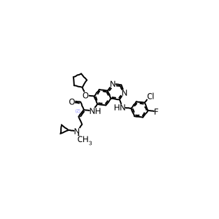 CN(C/C=C(/C=O)Nc1cc2c(Nc3ccc(F)c(Cl)c3)ncnc2cc1OC1CCCC1)C1CC1